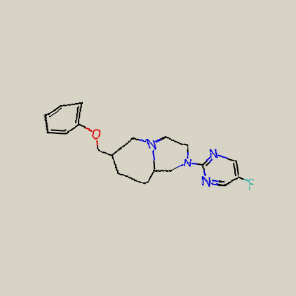 Fc1cnc(N2CCN3CC(COc4ccccc4)CCC3C2)nc1